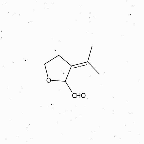 CC(C)=C1CCOC1C=O